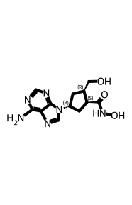 Nc1ncnc2c1ncn2[C@@H]1C[C@@H](CO)[C@@H](C(=O)NO)C1